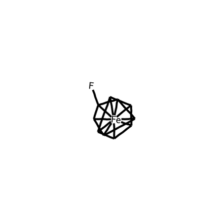 F[C]12[CH]3[CH]4[CH]5[CH]1[Fe]45321678[CH]2[CH]1[CH]6[CH]7[CH]28